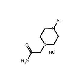 CC(=O)N1CCN(CC(N)=O)CC1.Cl